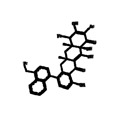 CC(=O)C1=C(O)C(C(C)C)[C@@]2(C)C[C@@]3(C)Cc4c(-c5ccc(CC(C)C)c6ccccc56)ccc(O)c4C(=O)C3=C(O)[C@@]2(O)C1=O